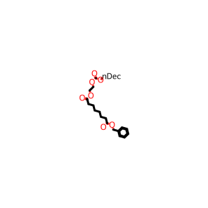 CCCCCCCCCCOC(=O)OCCOC(=O)CCCCCCC(=O)OCc1ccccc1